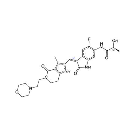 Cc1c(/C=C2\C(=O)Nc3cc(NC(=O)[C@H](C)O)c(F)cc32)[nH]c2c1C(=O)N(CCN1CCOCC1)CC2